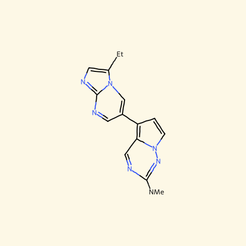 CCc1cnc2ncc(-c3ccn4nc(NC)ncc34)cn12